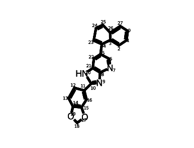 c1ccc2c(-c3cnc4nc(-c5ccc6c(c5)OCO6)[nH]c4c3)cccc2c1